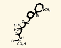 CCC1(c2cccc(OC(=O)C[C@@](O)(C=O)CC(=O)N[C@H](C(=O)O)C(C)C)c2)CCCCN(C)C1